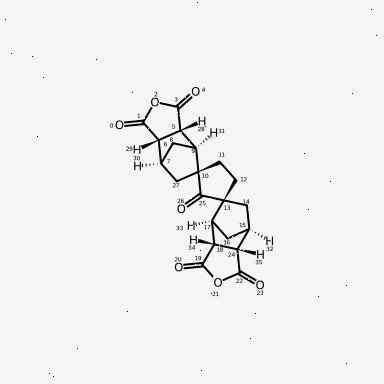 O=C1OC(=O)[C@H]2[C@@H]1[C@H]1C[C@@H]2[C@@]2(CC[C@]3(C[C@@H]4C[C@H]3[C@H]3C(=O)OC(=O)[C@@H]43)C2=O)C1